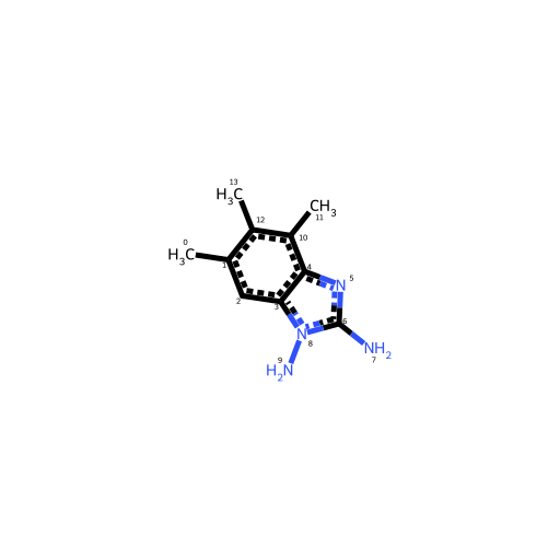 Cc1cc2c(nc(N)n2N)c(C)c1C